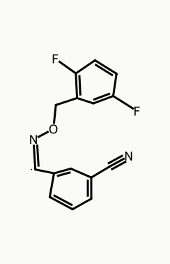 N#Cc1cccc(/[C]=N\OCc2cc(F)ccc2F)c1